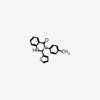 Cc1ccc(N2C(=O)c3ccccc3NC2c2cccs2)cc1